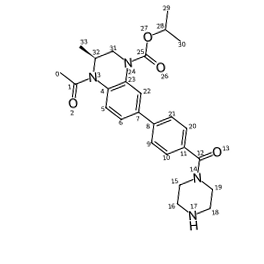 CC(=O)N1c2ccc(-c3ccc(C(=O)N4CCNCC4)cc3)cc2N(C(=O)OC(C)C)C[C@@H]1C